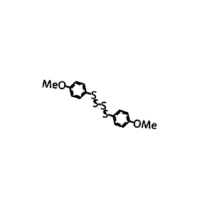 COc1ccc(SSSSc2ccc(OC)cc2)cc1